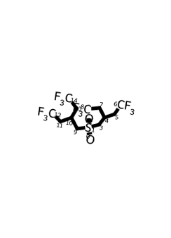 O=S(=O)(CC(CC(F)(F)F)CC(F)(F)F)CC(CC(F)(F)F)CC(F)(F)F